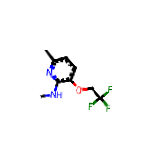 CNc1nc(C)ccc1OCC(F)(F)F